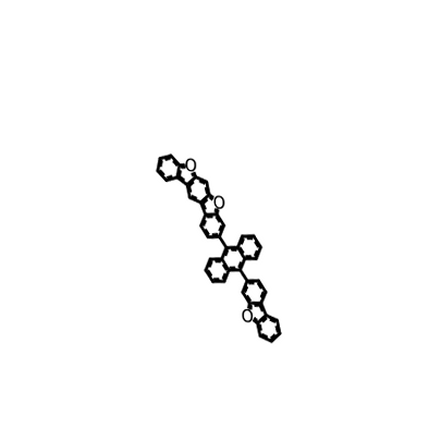 c1ccc2c(c1)oc1cc(-c3c4ccccc4c(-c4ccc5c(c4)oc4cc6oc7ccccc7c6cc45)c4ccccc34)ccc12